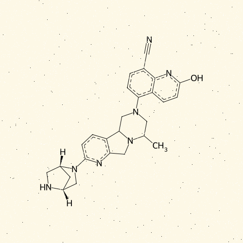 CC1CN(c2ccc(C#N)c3nc(O)ccc23)CC2c3ccc(N4C[C@H]5C[C@@H]4CN5)nc3CN12